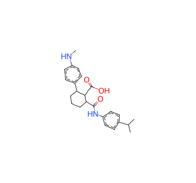 CNc1ccc(C2CCCC(C(=O)Nc3ccc(C(C)C)cc3)C2C(=O)O)cc1